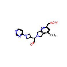 Cc1cc(CO)nc2c1CN(C(C=O)C1CN(c3ccncn3)C1)C2